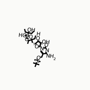 CCC(CC)(C[C@H]1O[C@@H](n2cc(CO[Si](C)(C)C(C)(C)C)c(N)nc2=O)[C@H](O)[C@@H]1O)OP(=O)(O)C(O)(CC)CC